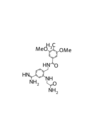 COc1cc(C(=O)NCc2ccc(C(=N)N)cc2NCC(N)=O)cc(OC)c1C